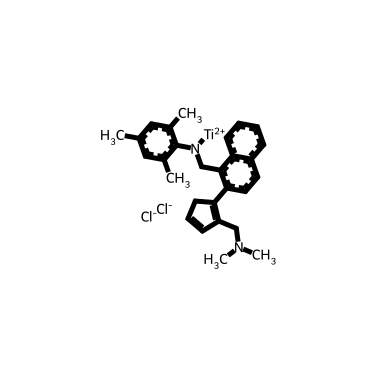 Cc1cc(C)c([N]([Ti+2])Cc2c(C3=C(CN(C)C)C=CC3)ccc3ccccc23)c(C)c1.[Cl-].[Cl-]